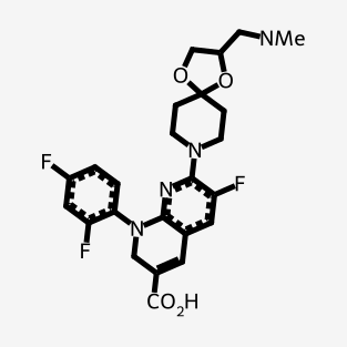 CNCC1COC2(CCN(c3nc4c(cc3F)C=C(C(=O)O)CN4c3ccc(F)cc3F)CC2)O1